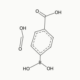 O=C(O)c1ccc(B(O)O)cc1.O=CO